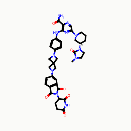 CN1CCN([C@@H]2CCCN(c3cnc(C(N)=O)c(Nc4ccc(N5CC6(C5)CN(c5ccc7c(c5)C(=O)N(C5CCC(=O)NC5=O)C7=O)C6)cc4)n3)C2)C1=O